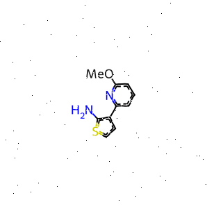 COc1cccc(-c2ccsc2N)n1